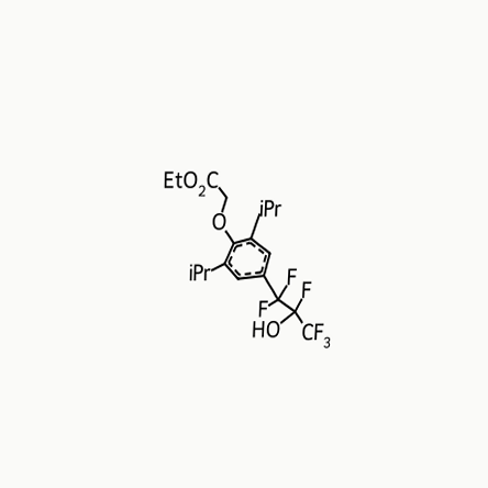 CCOC(=O)COc1c(C(C)C)cc(C(F)(F)C(O)(F)C(F)(F)F)cc1C(C)C